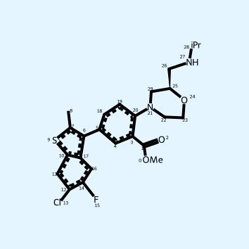 COC(=O)c1cc(-c2c(C)sc3cc(Cl)c(F)cc23)ccc1N1CCO[C@H](CNC(C)C)C1